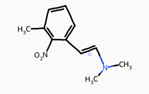 Cc1cccc(/C=C/N(C)C)c1[N+](=O)[O-]